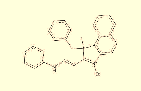 CC[N+]1=C(C=CNc2ccccc2)C(C)(Cc2ccccc2)c2c1ccc1ccccc21